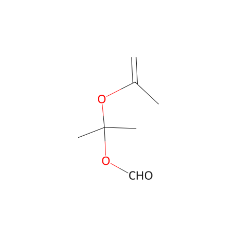 C=C(C)OC(C)(C)OC=O